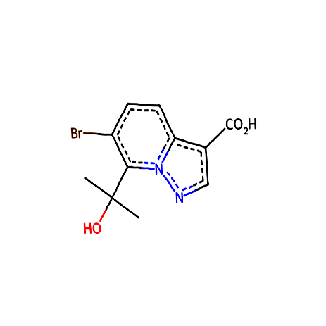 CC(C)(O)c1c(Br)ccc2c(C(=O)O)cnn12